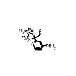 CC(CF)(O[Si](C)(C)C(C)(C)C)c1cc(N)ccn1